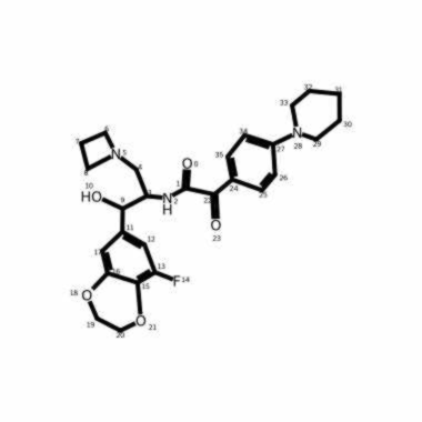 O=C(NC(CN1CCC1)C(O)c1cc(F)c2c(c1)OCCO2)C(=O)c1ccc(N2CCCCC2)cc1